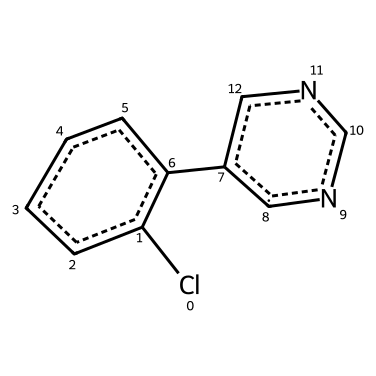 Clc1ccccc1-c1[c]ncnc1